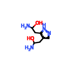 NC(O)Cc1cn[nH]c1CC(N)O